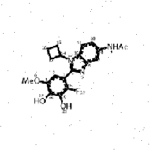 COc1cc(-c2nc3cc(NC(C)=O)ccc3n2C2CCC2)c(F)c(O)c1O